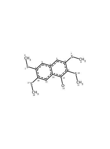 CSc1cc2cc(SC)c(SC)c([O])c2cc1SC